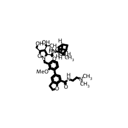 COc1c(CN2O[C@@H](CO)[C@@H]([C@H](C)O)[C@H]2C(=O)N[C@H]2C[C@H]3C[C@@H]([C@@H]2C)C3(C)C)cccc1-c1cc2c(c(C(=O)NCCN(C)C)c1)OCC2